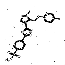 Cn1ncc(-c2noc(-c3ccc(S(N)(=O)=O)cc3)n2)c1COc1ccc(F)cn1